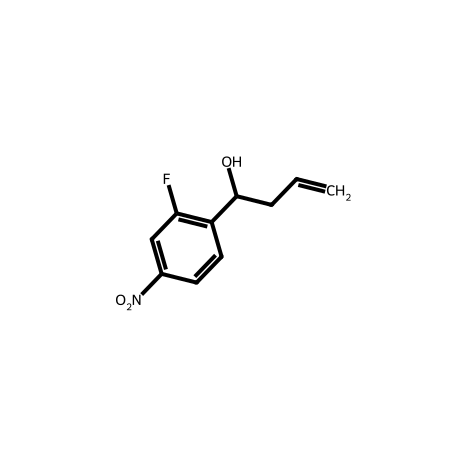 C=CCC(O)c1ccc([N+](=O)[O-])cc1F